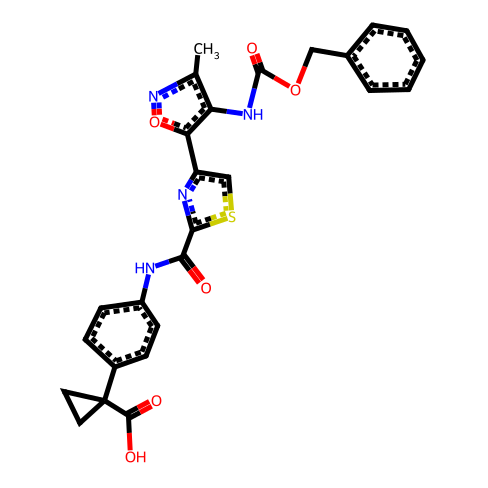 Cc1noc(-c2csc(C(=O)Nc3ccc(C4(C(=O)O)CC4)cc3)n2)c1NC(=O)OCc1ccccc1